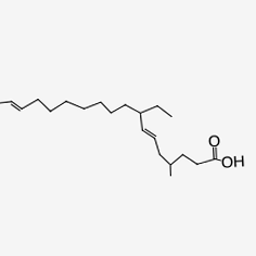 CC=CCCCCCCCC(C=CCC(C)CCC(=O)O)CC